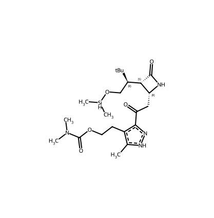 Cc1[nH]nc(C(=O)C[C@H]2NC(=O)[C@H]2[C@@H](CO[SiH](C)C)C(C)(C)C)c1CCOC(=O)N(C)C